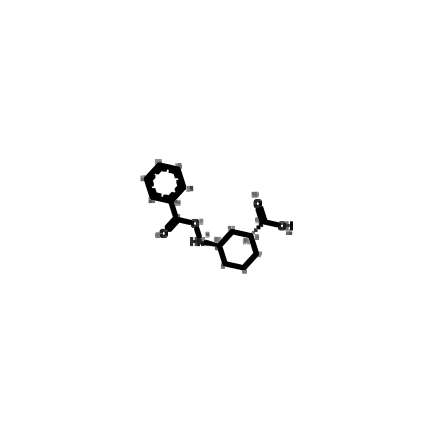 O=C(ON[C@@H]1CCC[C@@H](C(=O)O)C1)c1ccccc1